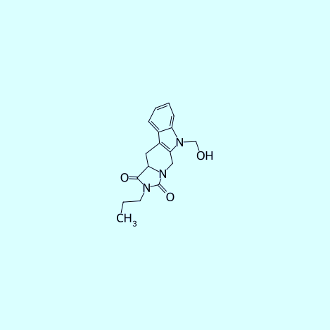 CCCN1C(=O)C2Cc3c(n(CO)c4ccccc34)CN2C1=O